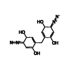 [N-]=[N+]=C1C=C(O)C(CC2=CC(O)C(=[N+]=[N-])C=C2O)=CC1O